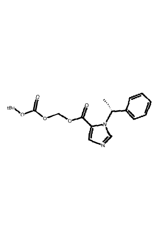 C[C@H](c1ccccc1)n1cncc1C(=O)OCOC(=O)OC(C)(C)C